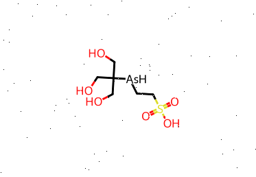 O=S(=O)(O)CC[AsH]C(CO)(CO)CO